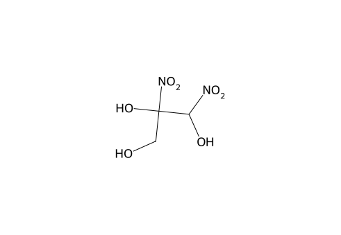 O=[N+]([O-])C(O)C(O)(CO)[N+](=O)[O-]